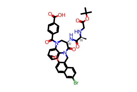 COc1ccc2cc(Br)ccc2c1CN1C(=O)[C@@H](NC(=O)[C@H](C)NCC(=O)OC(C)(C)C)CN(C(=O)c2ccc(C(=O)O)cc2)c2ccccc21